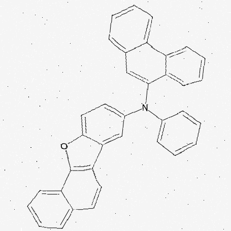 c1ccc(N(c2ccc3oc4c5ccccc5ccc4c3c2)c2cc3ccccc3c3ccccc23)cc1